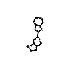 c1ccc2sc(-c3ccc4cc[nH]c4c3)nc2c1